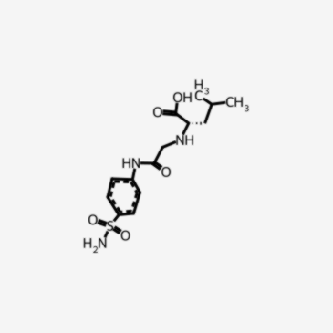 CC(C)C[C@H](NCC(=O)Nc1ccc(S(N)(=O)=O)cc1)C(=O)O